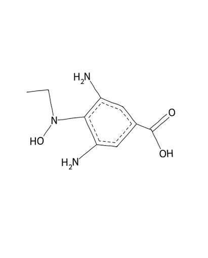 CCN(O)c1c(N)cc(C(=O)O)cc1N